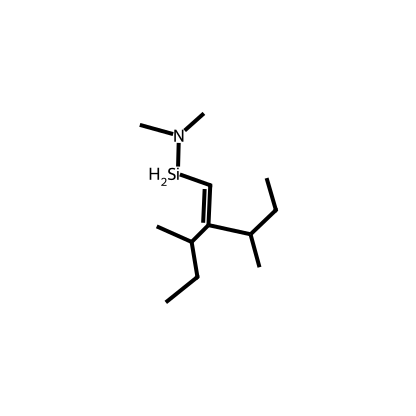 CCC(C)C(=C[SiH2]N(C)C)C(C)CC